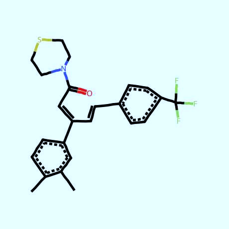 Cc1ccc(C(C=Cc2ccc(C(F)(F)F)cc2)=CC(=O)N2CCSCC2)cc1C